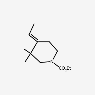 C/C=C1\CCN(C(=O)OCC)CC1(C)C